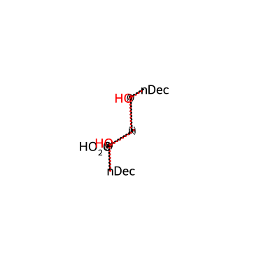 CCCCCCCCCCCCCCCCCCCCCCCC[C@@H](C(=O)O)[C@H](O)CCCCCCCCCCCCCCC[C@@H]1C[C@@H]1CCCCCCCCCCCCCCCCCC[C@H](O)[C@H](C)CCCCCCCCCCCCCCCCCC